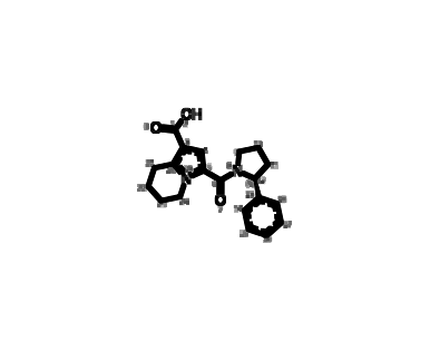 O=C(O)c1cc(C(=O)N2CCC[C@H]2c2ccccc2)n2c1CCCC2